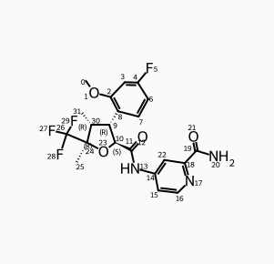 COc1cc(F)ccc1[C@@H]1[C@@H](C(=O)Nc2ccnc(C(N)=O)c2)O[C@@](C)(C(F)(F)F)[C@@H]1C